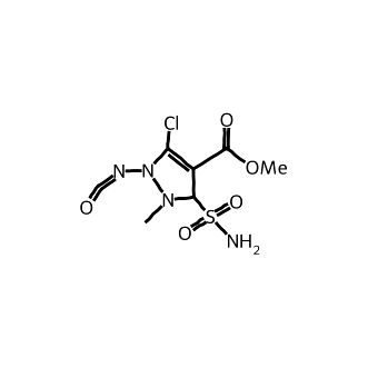 COC(=O)C1=C(Cl)N(N=C=O)N(C)C1S(N)(=O)=O